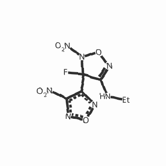 CCNC1=NON([N+](=O)[O-])C1(F)c1nonc1[N+](=O)[O-]